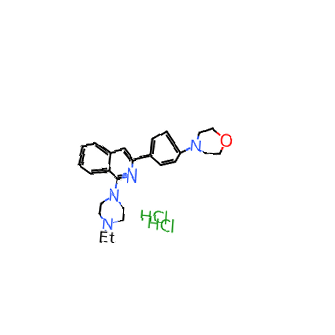 CCN1CCN(c2nc(-c3ccc(N4CCOCC4)cc3)cc3ccccc23)CC1.Cl.Cl